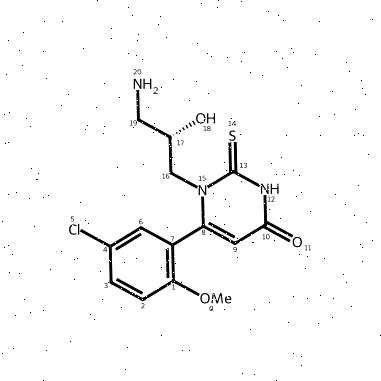 COc1ccc(Cl)cc1-c1cc(=O)[nH]c(=S)n1C[C@@H](O)CN